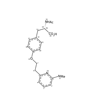 CNc1cccc(CCOc2ccc(C[C@H](NC(C)=O)C(=O)O)cc2)n1